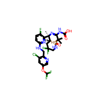 CC1(C)C(NC(=O)O)=N[C@](C)(c2nc(NCc3ncc(OC(F)F)cc3Cl)ccc2F)[C@H]2CC(F)(F)CN[SH]21=O